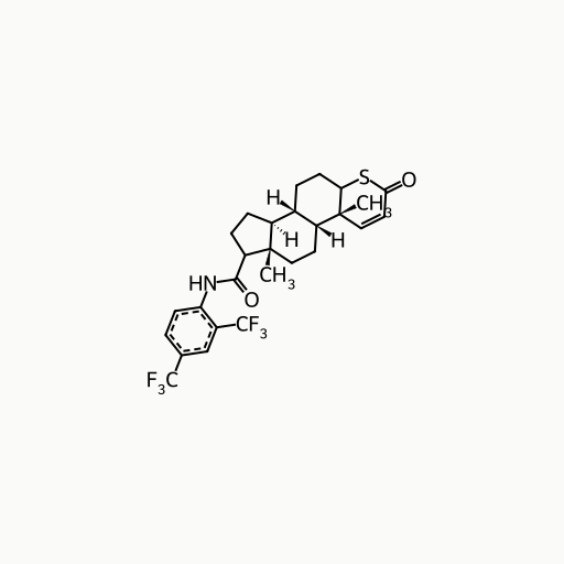 C[C@]12C=CC(=O)SC1CC[C@@H]1[C@H]2CC[C@]2(C)C(C(=O)Nc3ccc(C(F)(F)F)cc3C(F)(F)F)CC[C@@H]12